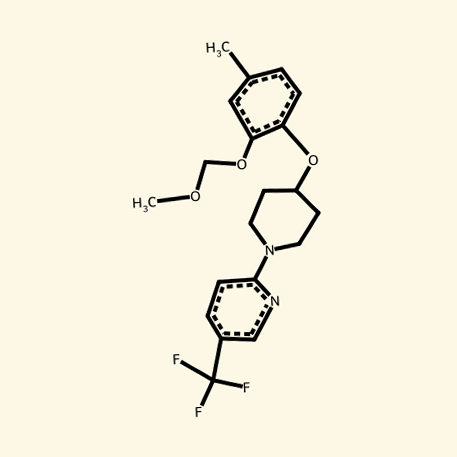 COCOc1cc(C)ccc1OC1CCN(c2ccc(C(F)(F)F)cn2)CC1